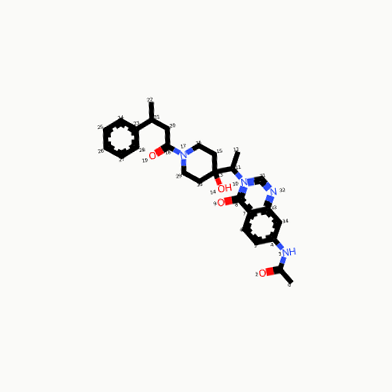 CC(=O)Nc1ccc2c(=O)n(C(C)C3(O)CCN(C(=O)CC(C)c4ccccc4)CC3)cnc2c1